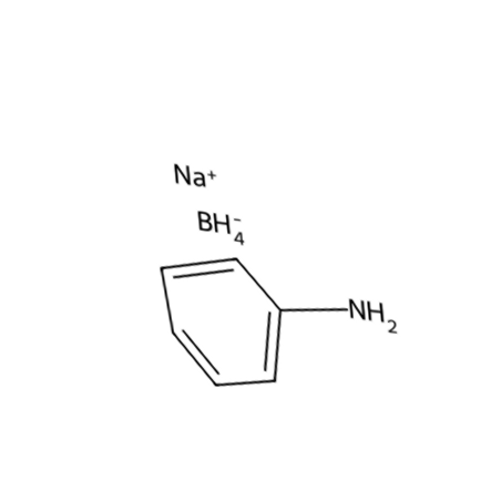 Nc1ccccc1.[BH4-].[Na+]